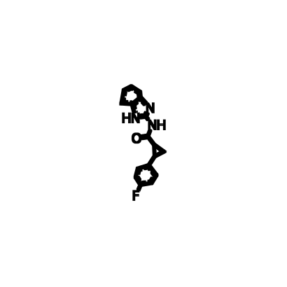 O=C(Nc1nc2ccccc2[nH]1)C1CC1c1ccc(F)cc1